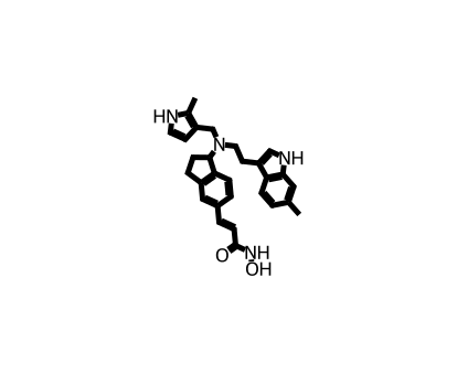 Cc1ccc2c(CCN(Cc3cc[nH]c3C)C3CCc4cc(C=CC(=O)NO)ccc43)c[nH]c2c1